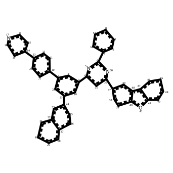 c1ccc(-c2nc(-c3cc(-c4ccc(-c5ccncc5)cc4)cc(-c4ccc5ccccc5c4)c3)cc(-c3ccc4oc5ccccc5c4c3)n2)cc1